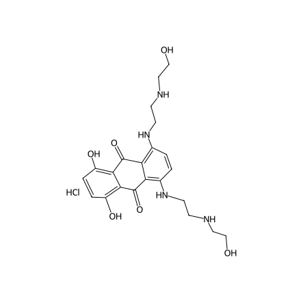 Cl.O=C1c2c(O)ccc(O)c2C(=O)c2c(NCCNCCO)ccc(NCCNCCO)c21